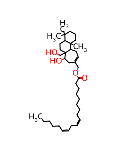 CCCCC/C=C\C/C=C\CCCCCCCC(=O)OCC1=CCC2C3(C)CCCC(C)(C)C3CCC2(CO)C(O)C1